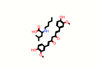 CCCCCNC(CC(C)C)C(=O)O.COc1cc(/C=C/C(=O)CC(=O)/C=C/c2ccc(O)c(OC)c2)ccc1O